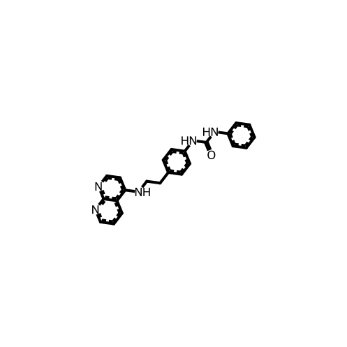 O=C(Nc1ccccc1)Nc1ccc(CCNc2ccnc3ncccc23)cc1